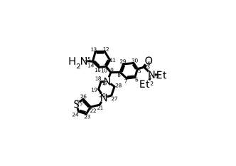 CCN(CC)C(=O)c1ccc(C(c2cccc(N)c2)N2CCN(Cc3ccsc3)CC2)cc1